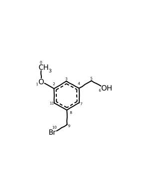 COc1cc(CO)cc(CBr)c1